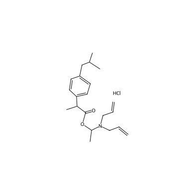 C=CCN(CC=C)C(C)OC(=O)C(C)c1ccc(CC(C)C)cc1.Cl